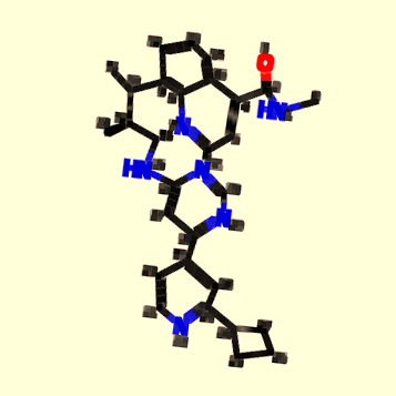 CNC(=O)c1ccnc2c(C(C)[C@H](C)CNc3cc(-c4ccnc(C5CCC5)c4)ncn3)cccc12